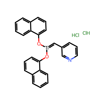 Cl.Cl.[CH](c1cccnc1)=[Ti]([O]c1cccc2ccccc12)[O]c1cccc2ccccc12